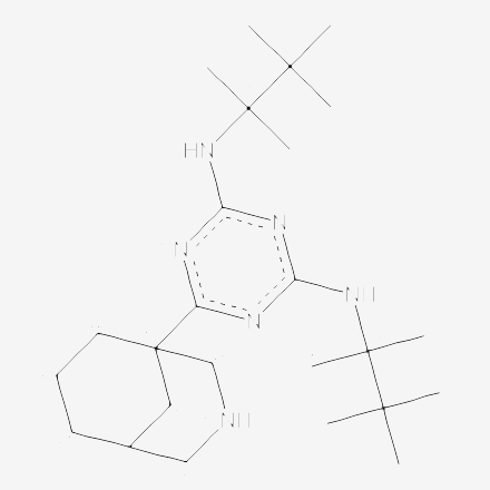 CC(C)(C)C(C)(C)Nc1nc(NC(C)(C)C(C)(C)C)nc(C23CCCC(CNC2)C3)n1